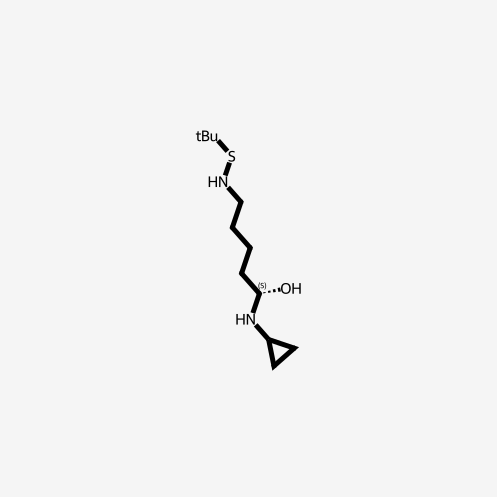 CC(C)(C)SNCCCC[C@H](O)NC1CC1